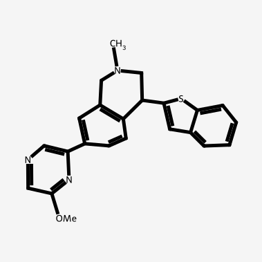 COc1cncc(-c2ccc3c(c2)CN(C)CC3c2cc3ccccc3s2)n1